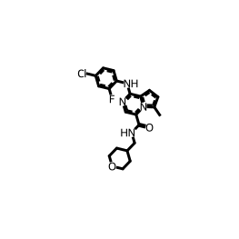 Cc1ccc2c(Nc3ccc(Cl)cc3F)ncc(C(=O)NCC3CCOCC3)n12